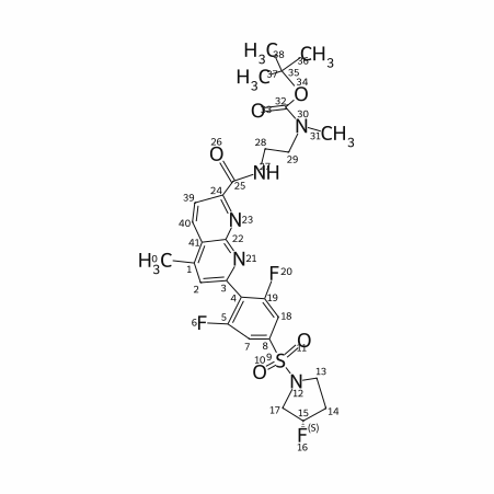 Cc1cc(-c2c(F)cc(S(=O)(=O)N3CC[C@H](F)C3)cc2F)nc2nc(C(=O)NCCN(C)C(=O)OC(C)(C)C)ccc12